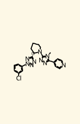 Cn1c(-c2ccncc2)nnc1N1CCCC[C@H]1c1nnn(-c2cccc(Cl)c2)n1